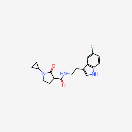 O=C(NCCc1c[nH]c2ccc(Cl)cc12)C1CCN(C2CC2)C1=O